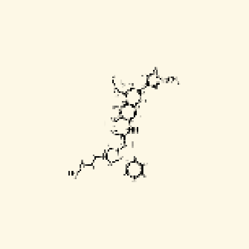 COCCN1C[C@@H](NC(=O)Nc2cc3cc(-c4cnn(C)c4)cc(OC)c3nc2C)[C@H](c2ccccc2)C1